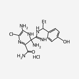 CCC(NC(=N)C1(N)NC(N)=C(Cl)N=C1C(N)=O)c1ccc(O)cc1.Cl